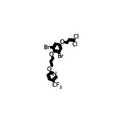 FC(F)(F)c1ccc(OCCCOc2c(Br)cc(OCC=C(Cl)Cl)cc2Br)nc1